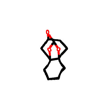 C1CCC23CC4CCC2(C1)OC(O4)O3